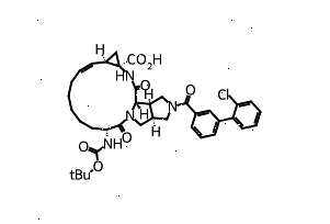 CC(C)(C)OC(=O)N[C@@H]1CCCCC/C=C\[C@H]2C[C@@]2(C(=O)O)NC(=O)[C@@H]2[C@H]3CN(C(=O)c4cccc(-c5ccccc5Cl)c4)C[C@H]3CN2C1=O